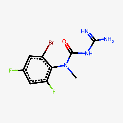 CN(C(=O)NC(=N)N)c1c(F)cc(F)cc1Br